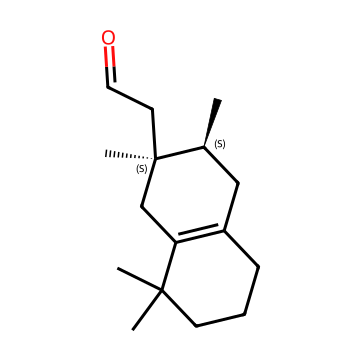 C[C@H]1CC2=C(C[C@@]1(C)CC=O)C(C)(C)CCC2